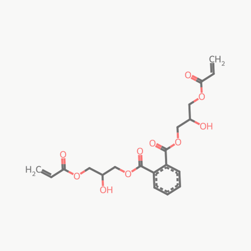 C=CC(=O)OCC(O)COC(=O)c1ccccc1C(=O)OCC(O)COC(=O)C=C